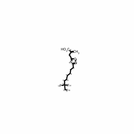 C=C(Cc1nc(CCCCCCC(F)(F)CF)no1)C(=O)O